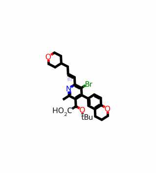 Cc1nc(/C=C/CC2CCOCC2)c(Br)c(-c2ccc3c(c2)CCCO3)c1C(OC(C)(C)C)C(=O)O